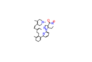 C/C=C(/C=C\C1=C(C)CCN(C)CC1)CCC1=C(C)CCC=C1c1cccc(-n2ncc(C(=O)N=O)c2CC)n1